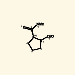 CNC(=O)[C@@H]1CCCN1C=O